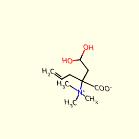 C=CCC(CC(O)O)(C(=O)[O-])[N+](C)(C)C